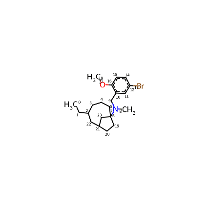 CCC1CCCC2(N(C)Cc3cc(Br)ccc3OC)CCC(C1)C2